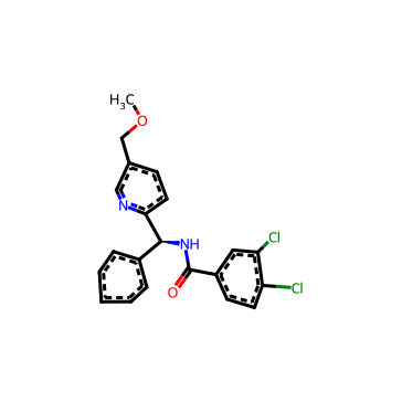 COCc1ccc([C@@H](NC(=O)c2ccc(Cl)c(Cl)c2)c2ccccc2)nc1